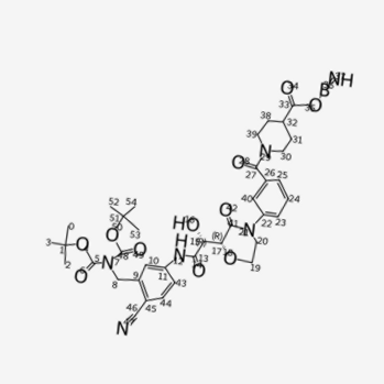 CC(C)(C)OC(=O)N(Cc1cc(NC(=O)[C@H](O)[C@H]2OCCN(c3cccc(C(=O)N4CCC(C(=O)OB=N)CC4)c3)C2=O)ccc1C#N)C(=O)OC(C)(C)C